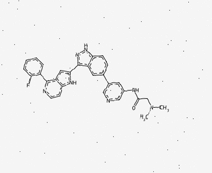 CN(C)CC(=O)Nc1cncc(-c2ccc3[nH]nc(-c4cc5c(-c6ccccc6F)nccc5[nH]4)c3c2)c1